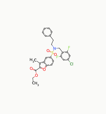 CCOC(=O)c1oc2ccc(S(=O)(=O)N(CCc3ccccc3)Cc3c(F)cc(Cl)cc3F)cc2c1C